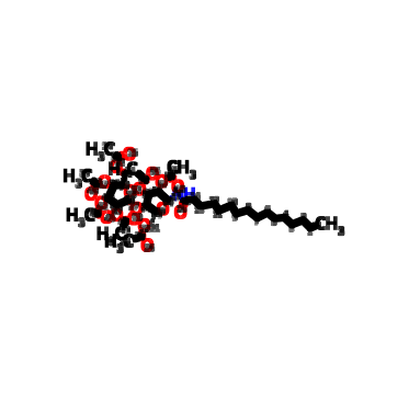 CCCCCCCCCCCCCCCC(=O)N[C@@H]1O[C@H](COC(C)=O)[C@@H](O[C@@H]2O[C@H](COC(C)=O)[C@@H](OC(C)=O)[C@H](OC(C)=O)[C@@H]2OC(C)=O)[C@H](OC(C)=O)[C@@H]1OC(C)=O